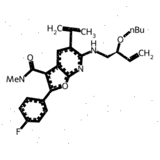 C=C[C@@H](CNc1nc2oc(-c3ccc(F)cc3)c(C(=O)NC)c2cc1C(=C)C)OCCCC